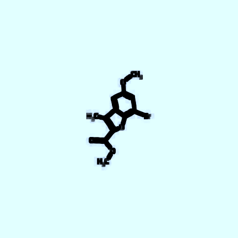 COC(=O)c1oc2c(Br)cc(OC)cc2c1C